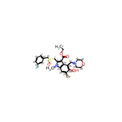 CCOC(=O)c1c(C[S+]([O-])Cc2cccc(F)c2)n(C)c2cc(Br)c(O)c(CN3CCOCC3)c12